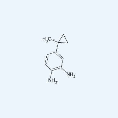 CC1(c2ccc(N)c(N)c2)CC1